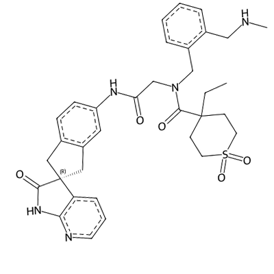 CCC1(C(=O)N(CC(=O)Nc2ccc3c(c2)C[C@@]2(C3)C(=O)Nc3ncccc32)Cc2ccccc2CNC)CCS(=O)(=O)CC1